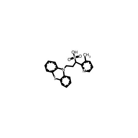 Cc1cccnc1C(CCN1c2ccccc2Sc2ccccc21)S(=O)(=O)O